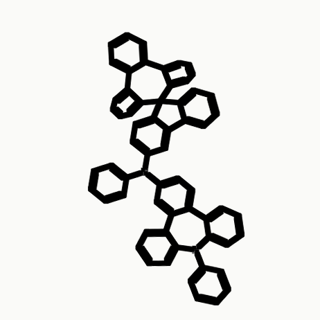 c1ccc(N(c2ccc3c(c2)-c2ccccc2N(c2ccccc2)c2ccccc2-3)c2ccc3c(c2)-c2ccccc2C32c3ccccc3-c3ccccc3-c3ccccc32)cc1